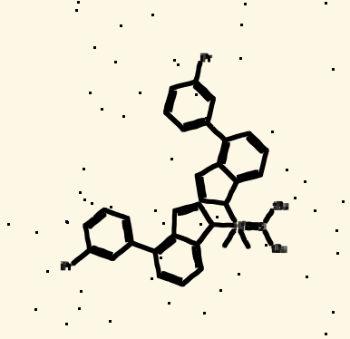 CC(C)c1cccc(-c2cccc3c2C=C[CH]3[Hf]([CH3])([CH3])([CH]2C=Cc3c(-c4cccc(C(C)C)c4)cccc32)=[Si](C(C)(C)C)C(C)(C)C)c1